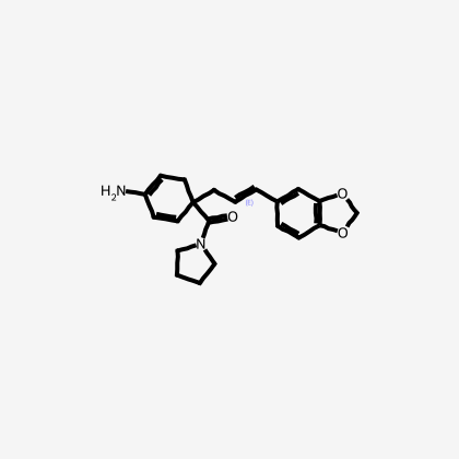 NC1=CCC(C/C=C/c2ccc3c(c2)OCO3)(C(=O)N2CCCC2)C=C1